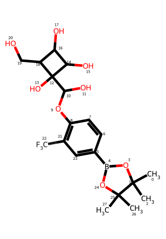 CC1(C)OB(c2ccc(OC(O)C3(O)C(O)C(O)C3CO)c(C(F)(F)F)c2)OC1(C)C